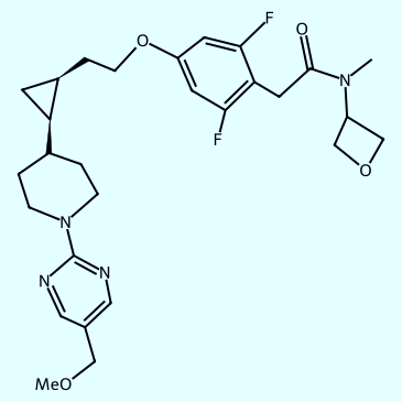 COCc1cnc(N2CCC([C@H]3C[C@H]3CCOc3cc(F)c(CC(=O)N(C)C4COC4)c(F)c3)CC2)nc1